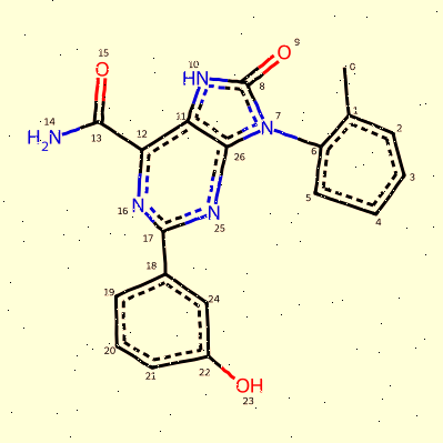 Cc1ccccc1-n1c(=O)[nH]c2c(C(N)=O)nc(-c3cccc(O)c3)nc21